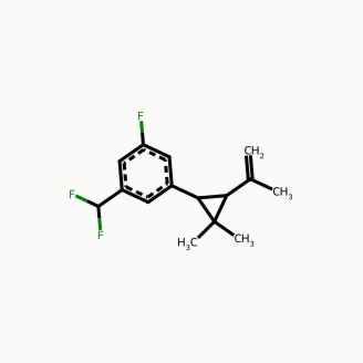 C=C(C)C1C(c2cc(F)cc(C(F)F)c2)C1(C)C